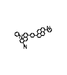 N#Cc1ccc2c3c1ccc1c(-c4ccc(-c5ccc6ccc7c(-c8ccccn8)ccc8ccc5c6c87)cc4)ccc(c13)n2-c1ccccc1